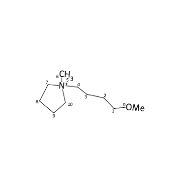 COCCCC[N+]1(C)CCCC1